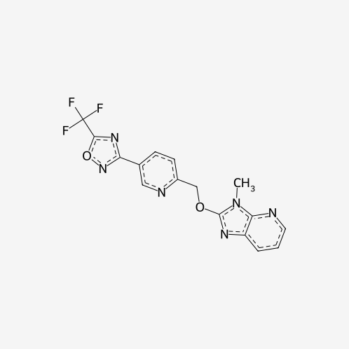 Cn1c(OCc2ccc(-c3noc(C(F)(F)F)n3)cn2)nc2cccnc21